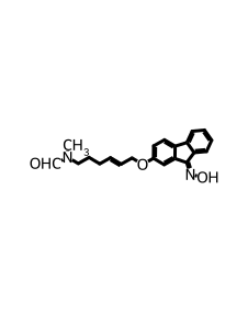 CN(C=O)CCC/C=C/COc1ccc2c(c1)/C(=N/O)c1ccccc1-2